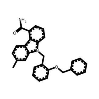 Cc1c[c]c2c3c(C(N)=O)cccc3n(Cc3ccccc3OCc3ccccc3)c2c1